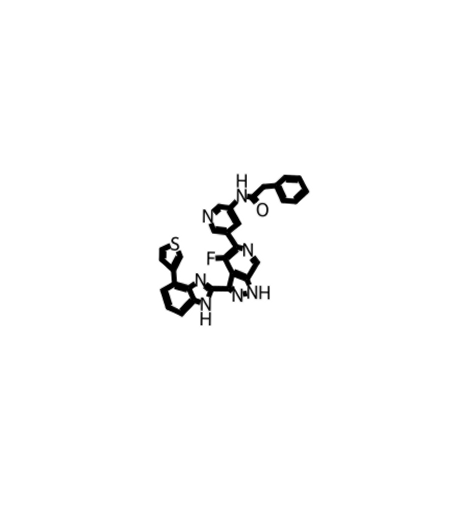 O=C(Cc1ccccc1)Nc1cncc(-c2ncc3[nH]nc(-c4nc5c(-c6ccsc6)cccc5[nH]4)c3c2F)c1